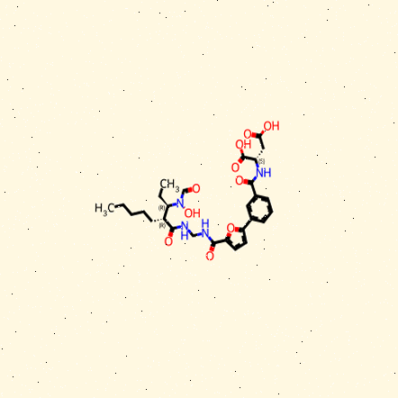 CCCCC[C@@H](C(=O)NCNC(=O)c1ccc(-c2cccc(C(=O)N[C@@H](CC(=O)O)C(=O)O)c2)o1)[C@@H](CC)N(O)C=O